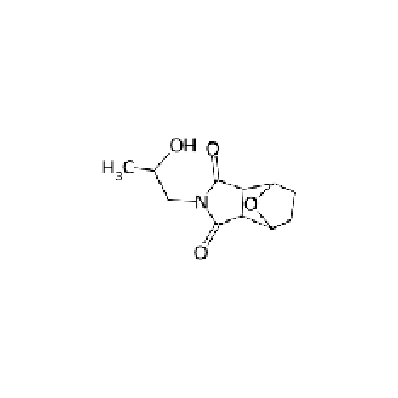 CC(O)CN1C(=O)C2C3CCC(O3)C2C1=O